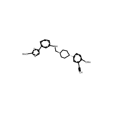 C#Cc1cc([C@H]2CC[C@H](CNc3cccc(-c4cnc(OC)s4)c3)CC2)ccc1OC